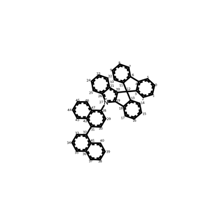 c1ccc2c(c1)-c1ccccc1C21c2ccccc2-c2c1c1ccccc1n2-c1ccc(-c2cccc3ccccc23)c2ccccc12